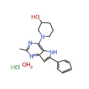 Cc1nc(N2CCCC(O)C2)c2[nH]c(-c3ccccc3)cc2n1.Cl.O